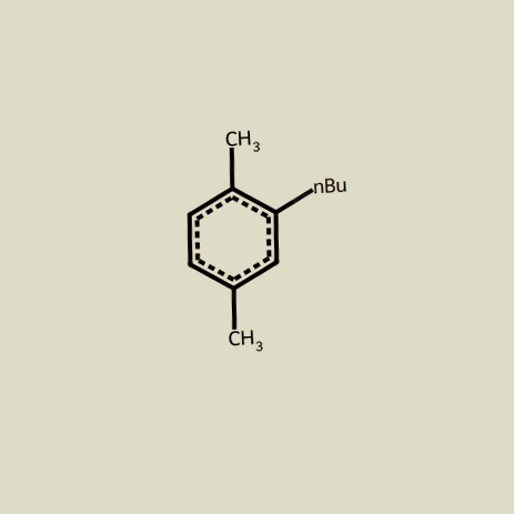 C[CH]CCc1cc(C)ccc1C